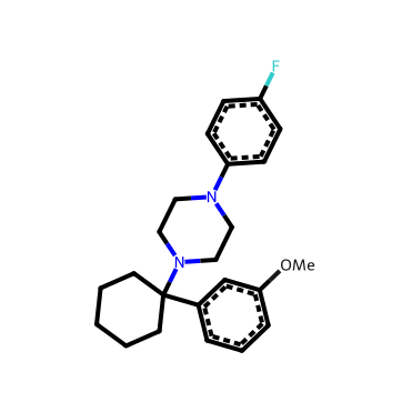 COc1cccc(C2(N3CCN(c4ccc(F)cc4)CC3)CCCCC2)c1